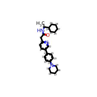 C[C@@H](NC(=O)Cc1ccc(-c2ccc(N3CCCCC3)cc2)cn1)C1CCCCC1